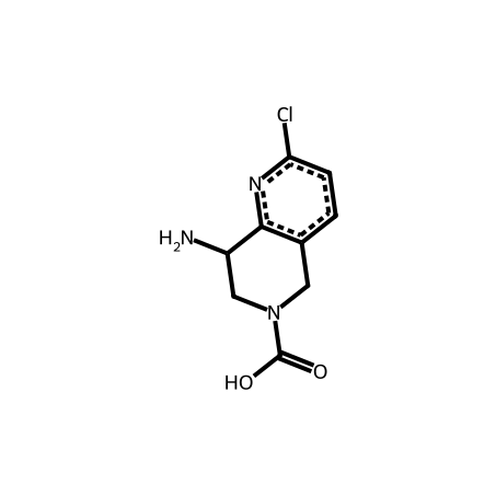 NC1CN(C(=O)O)Cc2ccc(Cl)nc21